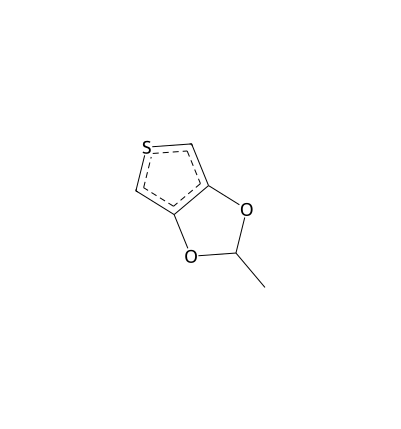 CC1Oc2cscc2O1